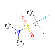 CN(C(F)(F)F)S(=O)(=O)C(F)(F)C(F)(F)F